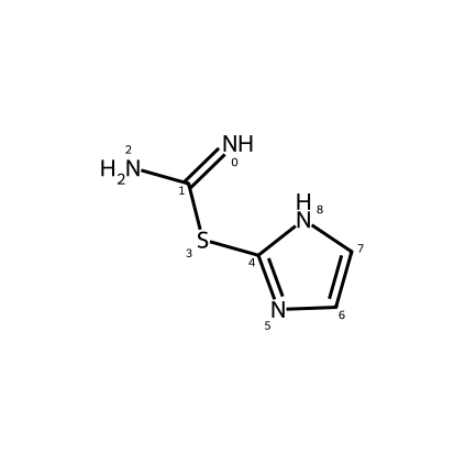 N=C(N)Sc1ncc[nH]1